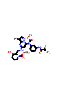 C=C(F)C(=O)Nc1cccc(N(C(=O)OC(C)(C)C)c2cc(NCC3C(O)CCCN3C(=O)OC(C)(C)C)nc3c(C(C)C)cnn23)c1